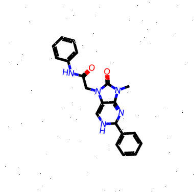 Cn1c2c(n(CC(=O)Nc3ccccc3)c1=O)=CNC(c1ccccc1)N=2